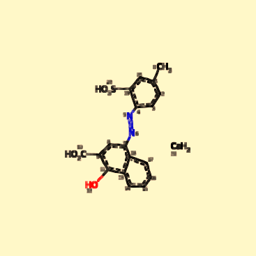 Cc1ccc(/N=N/c2cc(C(=O)O)c(O)c3ccccc23)c(S(=O)(=O)O)c1.[CaH2]